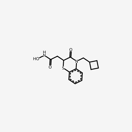 O=C(CC1Sc2ccccc2N(CC2CCC2)C1=O)NO